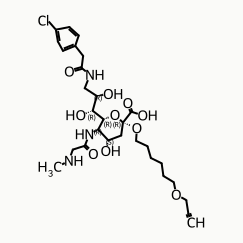 C#CCOCCCCCCO[C@]1(C(=O)O)C[C@H](O)[C@@H](NC(=O)CNC)[C@H]([C@H](O)[C@H](O)CNC(=O)Cc2ccc(Cl)cc2)O1